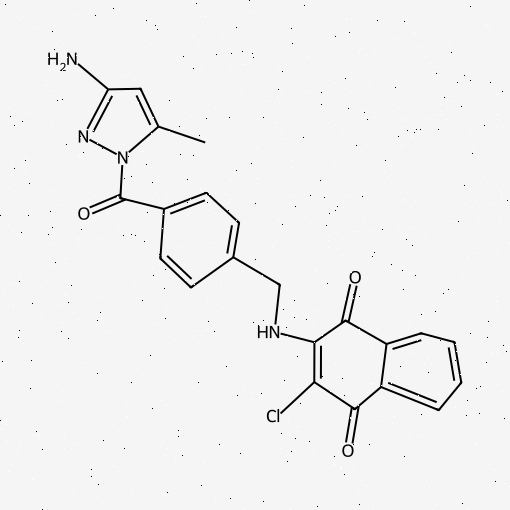 Cc1cc(N)nn1C(=O)c1ccc(CNC2=C(Cl)C(=O)c3ccccc3C2=O)cc1